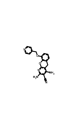 N#Cc1c(N)nc2c(c1N)Cc1cccc(OCc3ccncc3)c1O2